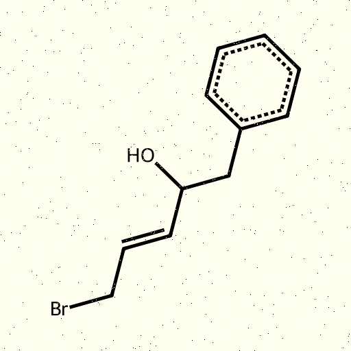 OC(C=CCBr)Cc1ccccc1